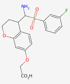 NC(C1CCOc2cc(OCC(=O)O)ccc21)S(=O)(=O)c1cccc(F)c1